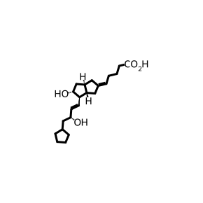 O=C(O)CCC/C=C1\C[C@@H]2C[C@@H](O)[C@H](/C=C/[C@H](O)CC3CCCC3)[C@H]2C1